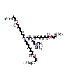 CCCCCC/C=C\COC(=O)CCCCCCCCN(CCCCCCCCC(=O)OC/C=C\CCCCCCC)CCCN(CCCCCCCCC(=O)OC/C=C\CCCCCC)CCCN(C)C